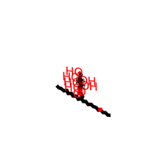 CCCCCCCCCCCCC(CCCCCCCCCC)CC(=O)OC(O)[C@H](O)[C@@H](O)[C@H](O)[C@H](O)CO